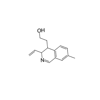 C=CC1N=Cc2cc(C)ccc2C1CCO